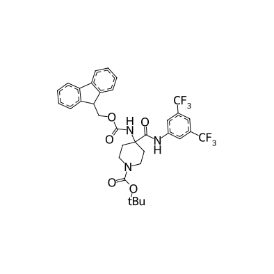 CC(C)(C)OC(=O)N1CCC(NC(=O)OCC2c3ccccc3-c3ccccc32)(C(=O)Nc2cc(C(F)(F)F)cc(C(F)(F)F)c2)CC1